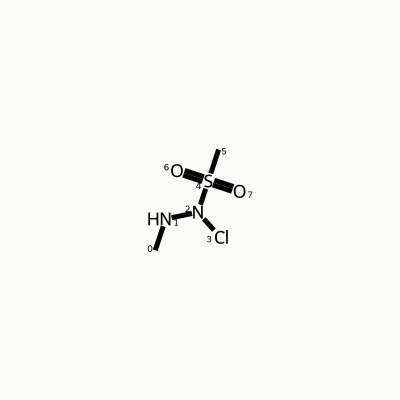 CNN(Cl)S(C)(=O)=O